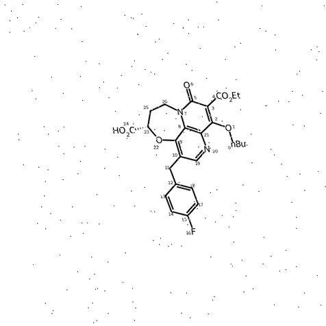 CCCCOc1c(C(=O)OCC)c(=O)n2c3c(c(Cc4ccc(F)cc4)cnc13)O[C@H](C(=O)O)CC2